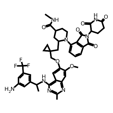 CNC(=O)C1CCN(c2cccc3c2C(=O)N(C2CCC(=O)NC2=O)C3=O)C(CC2(COc3cc4c(NC(C)c5cc(N)cc(C(F)(F)F)c5)nc(C)nc4cc3OC)CC2)C1